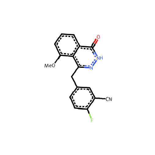 COc1cccc2c(=O)[nH]nc(Cc3ccc(F)c(C#N)c3)c12